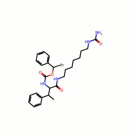 CC(C)C(OC(=O)NC(C(=O)NCCCCCCCNC(N)=O)C(C)c1ccccc1)c1ccccc1